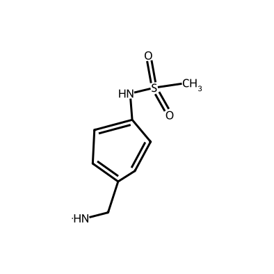 CS(=O)(=O)Nc1ccc(C[NH])cc1